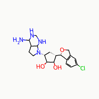 NC1NCNC2C1CCN2[C@@H]1C[C@H]([C@@H]2OCc3cc(Cl)ccc32)[C@@H](O)[C@H]1O